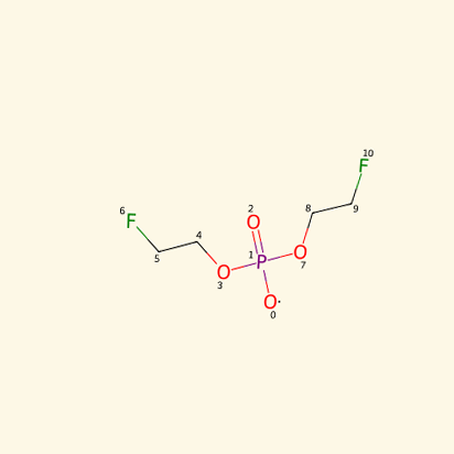 [O]P(=O)(OCCF)OCCF